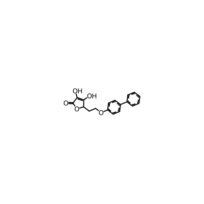 O=C1OC(CCOc2ccc(-c3ccccc3)cc2)C(O)=C1O